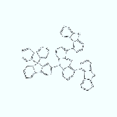 c1ccc(C2(c3ccccc3)c3ccccc3-c3ccc(-c4c5cccc(-c6cccc7oc8ccccc8c67)c5cc5c(-c6cccc7oc8ccccc8c67)cccc45)cc32)cc1